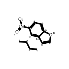 CCCC.O=[N+]([O-])c1ccc2occc2c1